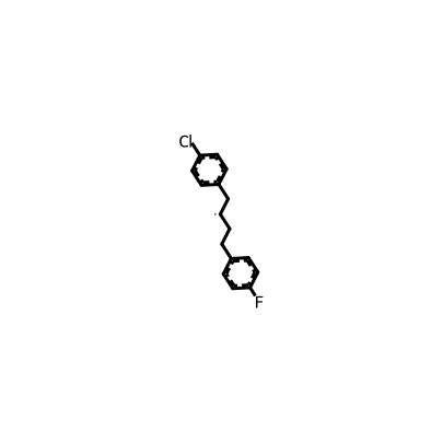 Fc1ccc(CC[CH]Cc2ccc(Cl)cc2)cc1